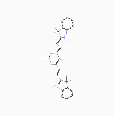 CC1CC(=CC=C2N(C)c3ccccc3C2(C)C)C(Cl)=C(C=CC2=[N+](C)c3ccccc3C2(C)C)C1